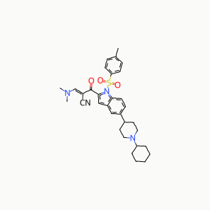 Cc1ccc(S(=O)(=O)n2c(C(=O)C(C#N)=CN(C)C)cc3cc(C4CCN(C5CCCCC5)CC4)ccc32)cc1